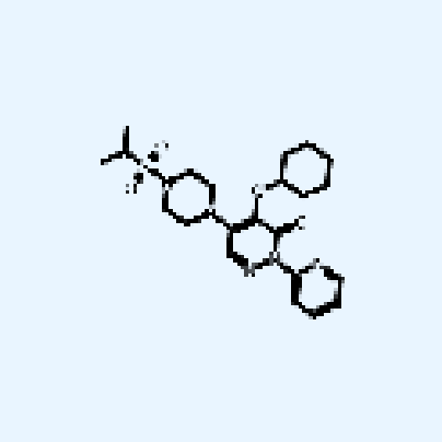 CC(C)S(=O)(=O)N1CCN(c2cnn(-c3ccccn3)c(=O)c2OC2CCCCC2)CC1